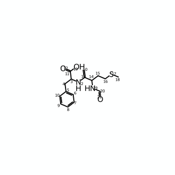 C=C(NC(Cc1ccccc1)C(=O)O)C(CCSC)NC=O